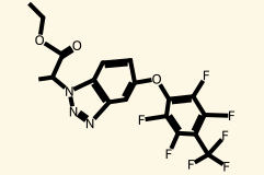 CCOC(=O)C(C)n1nnc2cc(Oc3c(F)c(F)c(C(F)(F)F)c(F)c3F)ccc21